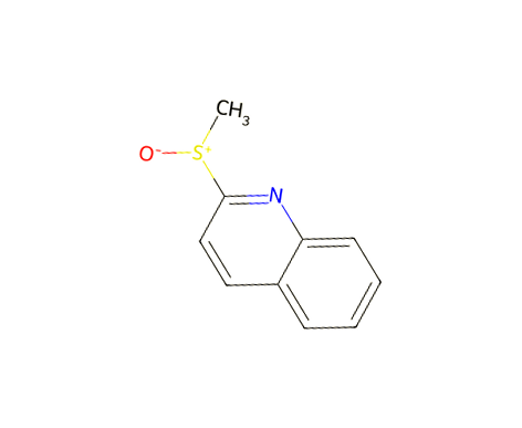 C[S+]([O-])c1ccc2ccccc2n1